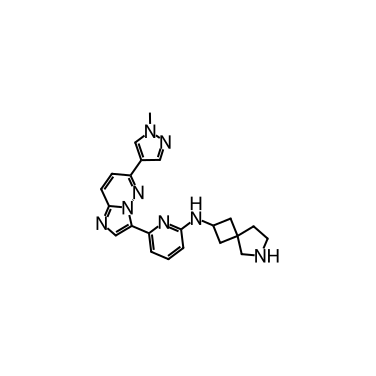 Cn1cc(-c2ccc3ncc(-c4cccc(NC5CC6(CCNC6)C5)n4)n3n2)cn1